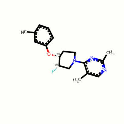 Cc1ncc(C)c(N2CC[C@@H](Oc3cccc(C#N)c3)[C@@H](F)C2)n1